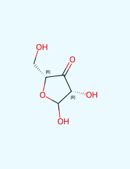 O=C1[C@@H](CO)OC(O)[C@H]1O